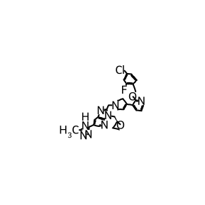 Cc1nnc(-c2cnc3c(c2)nc(CN2CC=C(c4cccnc4OCc4ccc(Cl)cc4F)CC2)n3C[C@@H]2CCO2)[nH]1